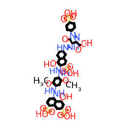 COc1cc(NNc2ccc(S(=O)(=O)O)c3cc(S(=O)(=O)O)cc(O)c23)c(OC)cc1NNc1c(S(=O)(=O)O)cc2cc(NNC3C(=O)N(c4ccc(S(=O)(=O)O)cc4)N=C3C(=O)O)ccc2c1O